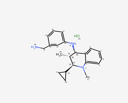 CC(=O)N1c2ccccc2[C@H](Nc2cccc(CN)c2)[C@@H](C)[C@@H]1C1CC1.Cl